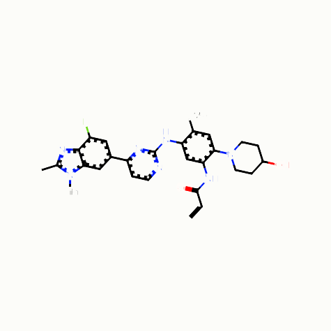 C=CC(=O)Nc1cc(Nc2nccc(-c3cc(F)c4nc(C)n(C(C)C)c4c3)n2)c(OC)cc1N1CCC(O)CC1